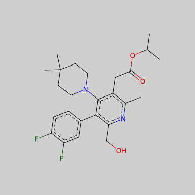 Cc1nc(CO)c(-c2ccc(F)c(F)c2)c(N2CCC(C)(C)CC2)c1CC(=O)OC(C)C